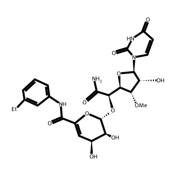 CCc1cccc(NC(=O)C2=C[C@H](O)[C@H](O)[C@@H](O[C@@H](C(N)=O)[C@H]3O[C@@H](n4ccc(=O)[nH]c4=O)[C@H](O)[C@@H]3OC)O2)c1